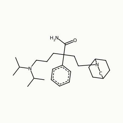 CC(C)N(CCCC(CCN1CC2CCC1CC2)(C(N)=O)c1ccccc1)C(C)C